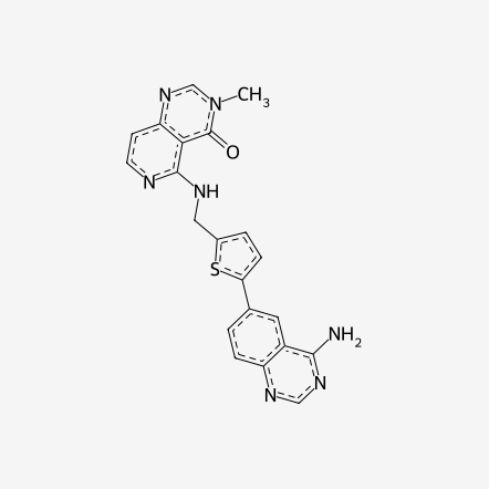 Cn1cnc2ccnc(NCc3ccc(-c4ccc5ncnc(N)c5c4)s3)c2c1=O